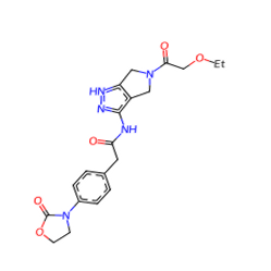 CCOCC(=O)N1Cc2[nH]nc(NC(=O)Cc3ccc(N4CCOC4=O)cc3)c2C1